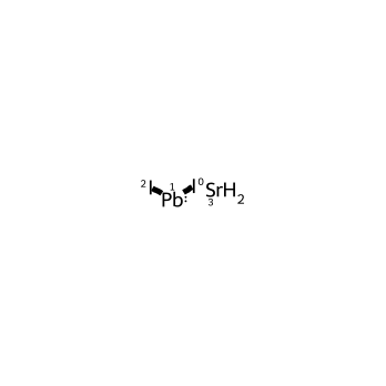 [I][Pb][I].[SrH2]